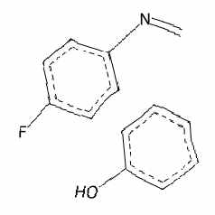 C=Nc1ccc(F)cc1.Oc1ccccc1